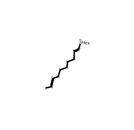 [CH2]C=CCCCCCC=CCCCCCC